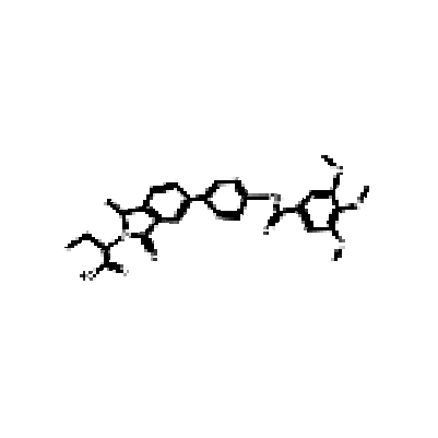 CCC(C(=O)O)N1C(=O)c2cc(-c3ccc(NC(=O)c4cc(OC)c(OC)c(OC)c4)cc3)ccc2C1C